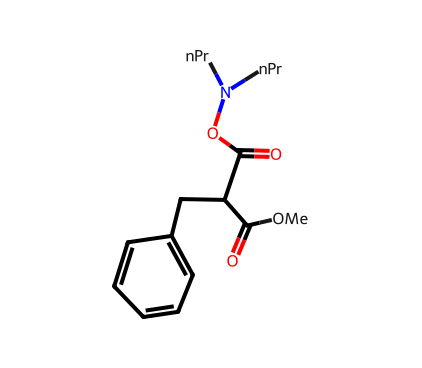 CCCN(CCC)OC(=O)C(Cc1ccccc1)C(=O)OC